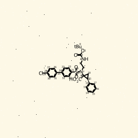 CC(C)(C)OC(=O)NCCN([C@]1(C(=O)O)C[C@H]1c1ccccc1)S(=O)(=O)c1ccc(-c2ccc(Cl)cc2)cc1